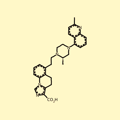 Cc1ccc2c(N3CCN(CCc4cccc5c4CCc4c(C(=O)O)ncn4-5)[C@H](C)C3)cccc2n1